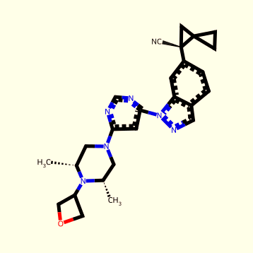 C[C@@H]1CN(c2cc(-n3ncc4ccc([C@]5(C#N)CC56CC6)cc43)ncn2)C[C@H](C)N1C1COC1